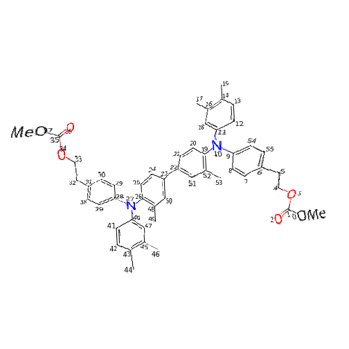 COC(=O)OCCc1ccc(N(c2ccc(C)c(C)c2)c2ccc(-c3ccc(N(c4ccc(CCOC(=O)OC)cc4)c4ccc(C)c(C)c4)c(C)c3)cc2C)cc1